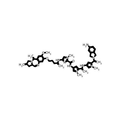 C=C1CC2C=Nc3cc(OCCCC(=C)Nc4cn(C)c(C(=O)Nc5cc(C(=C)Nc6cc(C(=C)N7Cc8ccc(N)cc8C7)n(C)c6)n(C)c5)n4)c(OC)cc3C(=C)N2C1